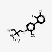 CC(C)CC(C)(COc1ccc(-c2ccnc(Cl)c2F)cc1C#N)NC(=O)O